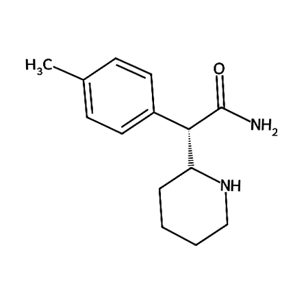 Cc1ccc([C@H](C(N)=O)C2CCCCN2)cc1